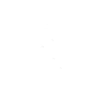 CC[C@@]1(O)C(=O)OCc2c1cc1n(c2=O)Cc2c-1nc1cc3c(cc1c2CNCCN1CCCCC1)OCO3